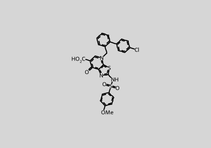 COc1ccc(S(=O)(=O)Nc2nc3c(=O)c(C(=O)O)cn(Cc4ccccc4-c4ccc(Cl)cc4)c3s2)cc1